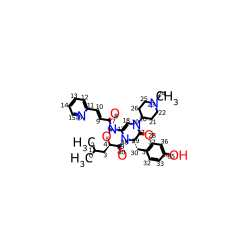 CC(C)C[C@H]1ON(C(=O)/C=C/c2ccccn2)C2=CN(C3CCN(C)CC3)C(=O)[C@H](Cc3ccc(O)cc3)N2C1=O